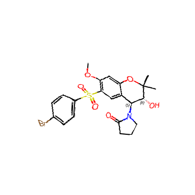 COc1cc2c(cc1S(=O)(=O)c1ccc(Br)cc1)[C@H](N1CCCC1=O)[C@@H](O)C(C)(C)O2